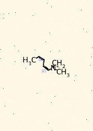 C=[N+](C)/C=C\C=C/C